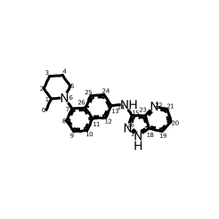 CC1CCCCN1c1cccc2cc(Nc3n[nH]c4cccnc34)ccc12